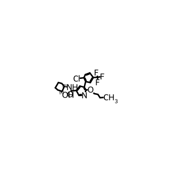 CCCCOc1ncc(C(=O)N[C@@H]2CCCC[C@H]2O)cc1-c1cc(C(F)(F)F)ccc1Cl